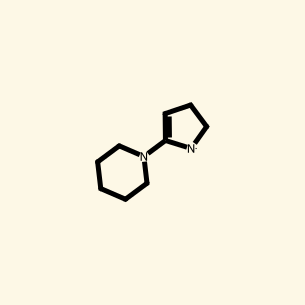 C1=C(N2CCCCC2)[N]CC1